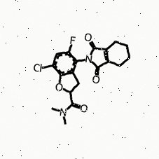 CN(C)C(=O)C1Cc2c(c(Cl)cc(F)c2N2C(=O)C3=C(CCCC3)C2=O)O1